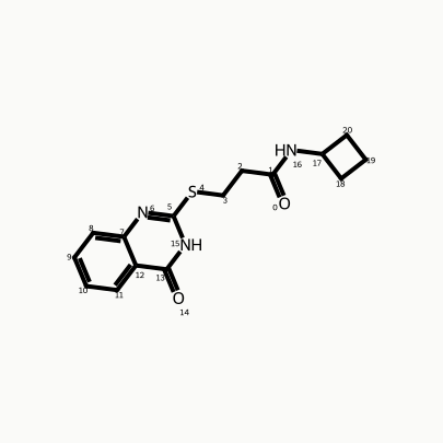 O=C(CCSc1nc2ccccc2c(=O)[nH]1)NC1CCC1